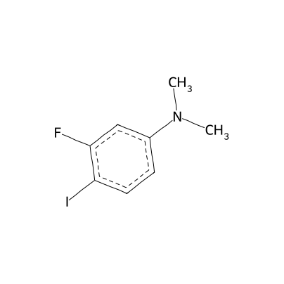 CN(C)c1ccc(I)c(F)c1